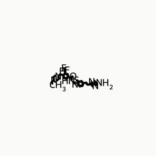 CCN1CCN(Cc2ccc(C(=O)Nc3nc4ccc(/C=C/c5cnc(N)cn5)cc4s3)cc2C(F)(F)F)CC1